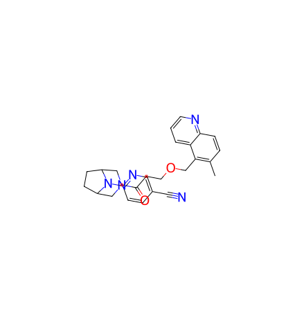 Cc1ccc2ncccc2c1COCCC(=O)N1CC2CCC(C1)N2c1ccc(C#N)cn1